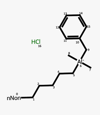 CCCCCCCCCCCCC[CH2][Al-]([CH3])([CH3])[CH2]c1ccccc1.Cl